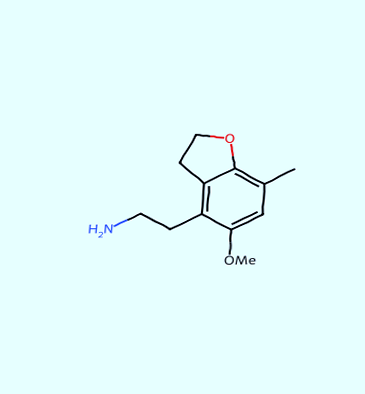 COc1cc(C)c2c(c1CCN)CCO2